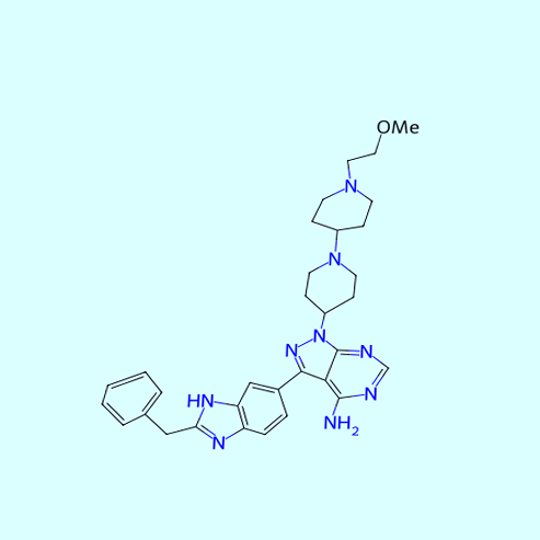 COCCN1CCC(N2CCC(n3nc(-c4ccc5nc(Cc6ccccc6)[nH]c5c4)c4c(N)ncnc43)CC2)CC1